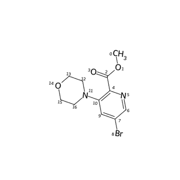 COC(=O)c1ncc(Br)cc1N1CCOCC1